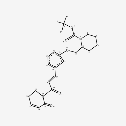 CC(C)(C)OC(=O)N1CCCCC1COc1cccc(C=CC(=O)N2CCC=CC2=O)c1